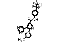 C[C@@H]1CCN(c2ncc(C(=O)Nc3ccc(C(F)(F)C(F)(F)Cl)cc3)cc2-c2cncnc2)C1